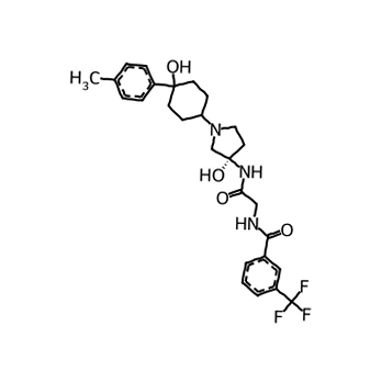 Cc1ccc(C2(O)CCC(N3CC[C@@](O)(NC(=O)CNC(=O)c4cccc(C(F)(F)F)c4)C3)CC2)cc1